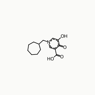 O=C(O)c1cn(CC2CCCCCC2)cc(O)c1=O